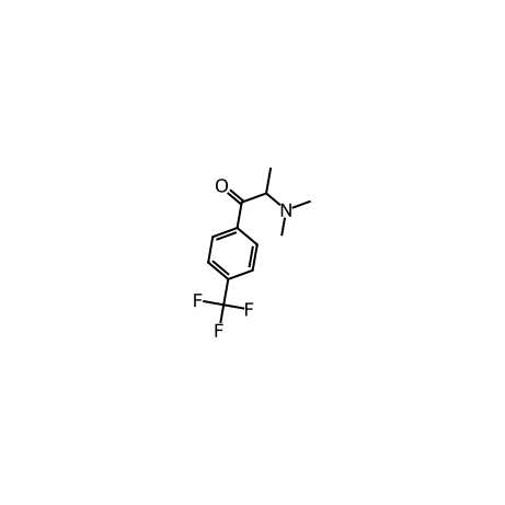 CC(C(=O)c1ccc(C(F)(F)F)cc1)N(C)C